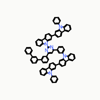 c1ccc(-c2cccc(-c3cccc(-c4cc(-c5cccc(-n6c7ccccc7c7ccc(-c8ccc9c%10ccccc%10n(-c%10ccccc%10)c9c8)cc76)c5)nc(-n5c6ccccc6c6ccc(-c7ccc8c9ccccc9n(-c9ccccc9)c8c7)cc65)n4)c3)c2)cc1